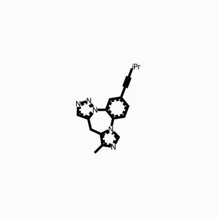 Cc1ncn2c1Cc1cnnn1-c1cc(C#CC(C)C)ccc1-2